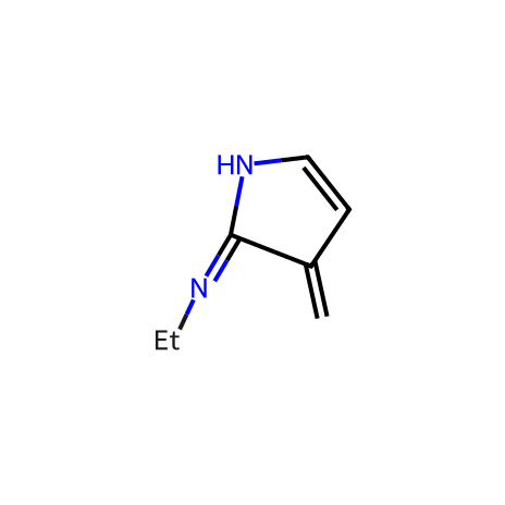 C=C1C=CN/C1=N/CC